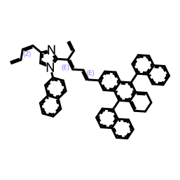 C=C/C=C\c1cn(-c2ccc3ccccc3c2)c(/C(C=C)=C/C=C/c2ccc3c(-c4cccc5ccccc45)c4c(c(-c5cccc6ccccc56)c3c2)=CCCC=4)n1